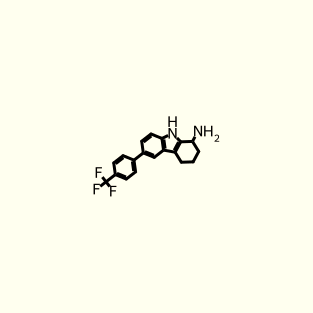 NC1CCCc2c1[nH]c1ccc(-c3ccc(C(F)(F)F)cc3)cc21